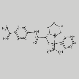 N=C(N)c1ccc(NC(=O)CCC(C(=O)O)(c2cccnc2)N2CCCCC2)cc1